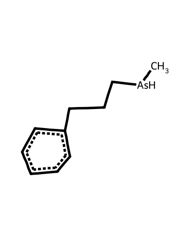 C[AsH]CCCc1ccccc1